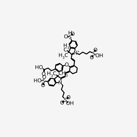 CC1(C)C(/C=C/C2=C(Oc3ccc(CCC(=O)O)cc3)C(=C/C=C3/N(CCCCS(=O)(=O)O)c4ccc(S(=O)(=O)O)cc4C3(C)C)/CCC2)=[N+](CCCCS(=O)(=O)O)c2ccc([SH](=O)=O)cc21